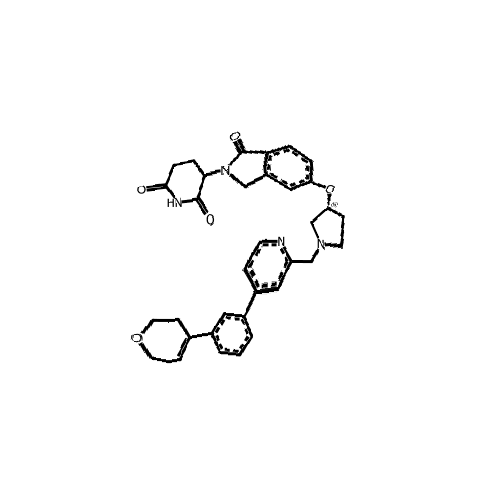 O=C1CCC(N2Cc3cc(O[C@H]4CCN(Cc5cc(-c6cccc(C7=CCOCC7)c6)ccn5)C4)ccc3C2=O)C(=O)N1